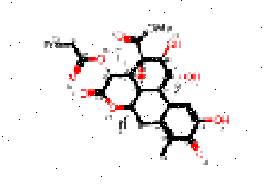 COC(=O)[C@]12OC[C@@]34[C@@H](CC5=C(C)C(=O)C(O)=C[C@]5(C)[C@H]3[C@@H](O)[C@@H]1O)OC(=O)[C@H](OC(=O)CC(C)C)[C@@H]24